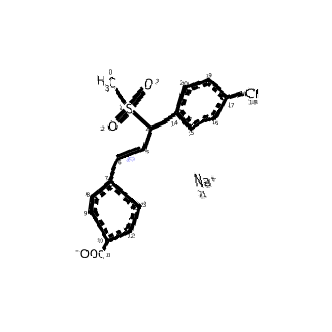 CS(=O)(=O)C(/C=C/c1ccc(C(=O)[O-])cc1)c1ccc(Cl)cc1.[Na+]